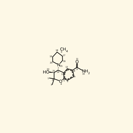 C.CC1(C)Oc2ccc(C(N)=O)cc2[C@@H](N2CCCCC2)[C@@H]1O